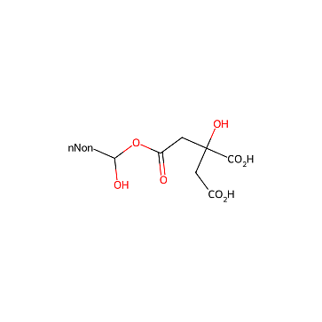 CCCCCCCCCC(O)OC(=O)CC(O)(CC(=O)O)C(=O)O